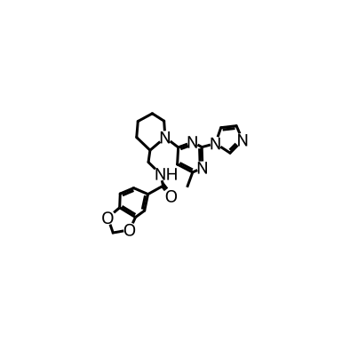 Cc1cc(N2CCCCC2CNC(=O)c2ccc3c(c2)OCO3)nc(-n2ccnc2)n1